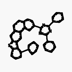 c1ccc(-c2nc(-c3ccccc3)nc(-c3ccc4ccc5cc6sc7cccc(-c8ccccc8)c7c6cc5c4c3)n2)cc1